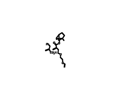 C=C(CC(C)C)C(=O)O.C=COCCOCCC(=C)C(=O)OC1CC2CCC1(C)C2(C)C